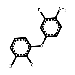 Nc1ccc(Oc2cccc(Cl)c2Cl)cc1F